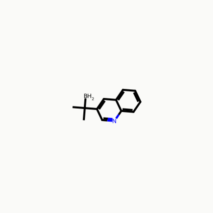 BC(C)(C)c1cnc2ccccc2c1